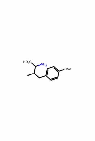 COc1ccc(C[C@@H](C)C(N)C(=O)O)cc1